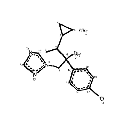 Br.CC(C1CC1)C(O)(Cn1cncn1)c1ccc(Cl)cc1